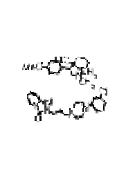 COc1ccc(C(CN(C)C)C2(O)CCCCC2)cc1.O=c1n(CCCN2CCN(c3cccc(Cl)c3)CC2)nc2ccccn12